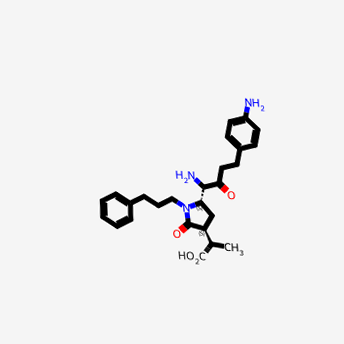 CC(C(=O)O)[C@@H]1C[C@@H](C(N)C(=O)CCc2ccc(N)cc2)N(CCCc2ccccc2)C1=O